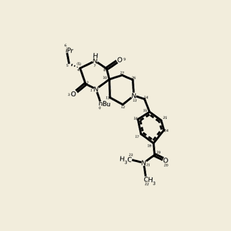 CCCCN1C(=O)[C@H](CC(C)C)NC(=O)C12CCN(Cc1ccc(C(=O)N(C)C)cc1)CC2